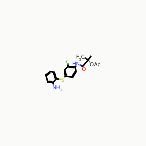 CC(=O)O[C@](C)(C(=O)Nc1ccc(Sc2ccccc2N)cc1Cl)C(F)(F)F